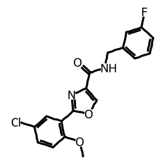 COc1ccc(Cl)cc1-c1nc(C(=O)NCc2cccc(F)c2)co1